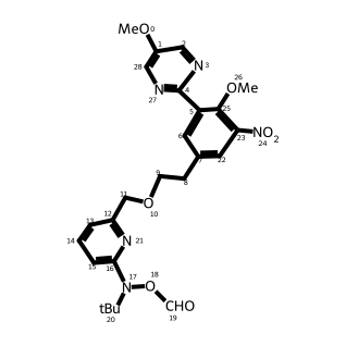 COc1cnc(-c2cc(CCOCc3cccc(N(OC=O)C(C)(C)C)n3)cc([N+](=O)[O-])c2OC)nc1